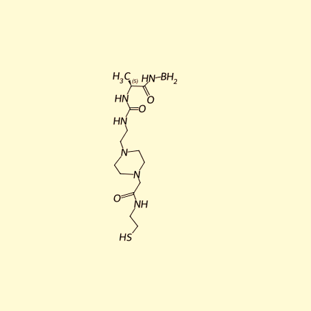 BNC(=O)[C@H](C)NC(=O)NCCN1CCN(CC(=O)NCCS)CC1